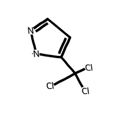 ClC(Cl)(Cl)C1=CC=N[N]1